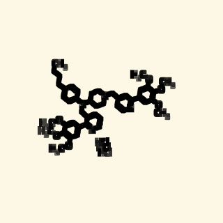 CCCCc1ccc(N(Cc2cccnc2-c2cc(OC)c(OC)c(OC)c2)C2CCN(Cc3ccnc(-c4cc(OC)c(OC)c(OC)c4)c3)CC2)cc1.Cl.Cl.Cl